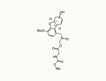 CCN(COC(=O)CNC(=O)OC(C)(C)C)Cc1ccc(OC)c2c1[C@@H]1C=C[C@H](O)C[C@@H]1O2